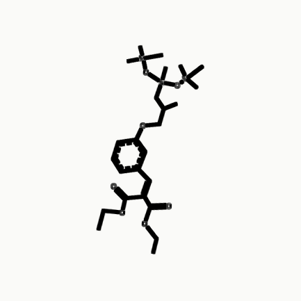 CCOC(=O)C(=Cc1cccc(OCC(C)C[Si](C)(O[Si](C)(C)C)O[Si](C)(C)C)c1)C(=O)OCC